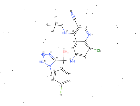 BC(Nc1cc(Cl)c2ncc(C#N)c(NCC(C)(C)C)c2c1)(C1=NNNN1C)c1ccc(F)cc1